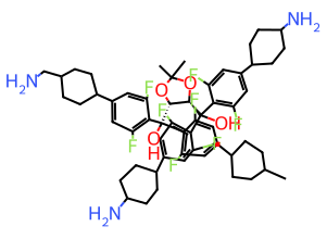 CC1CCC(c2cc(F)c(C(O)(c3c(F)cc(C4CCC(CN)CC4)cc3F)[C@@H]3OC(C)(C)O[C@H]3C(O)(c3c(F)cc(C4CCC(N)CC4)cc3F)c3c(F)cc(C4CCC(N)CC4)cc3F)c(F)c2)CC1